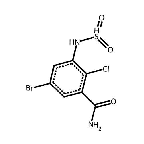 NC(=O)c1cc(Br)cc(N[SH](=O)=O)c1Cl